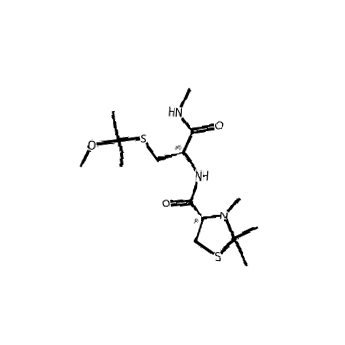 CNC(=O)[C@H](CSC(C)(C)OC)NC(=O)[C@@H]1CSC(C)(C)N1C